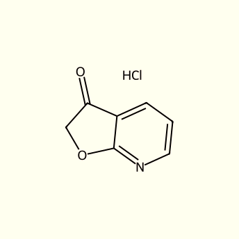 Cl.O=C1COc2ncccc21